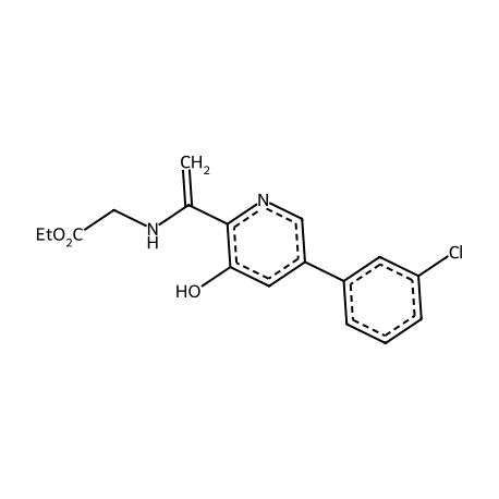 C=C(NCC(=O)OCC)c1ncc(-c2cccc(Cl)c2)cc1O